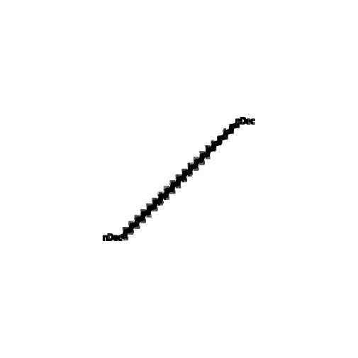 CCCCCCCCCCCCCCCCCCCCCCCCCCCCCCCCCCCCCCCCCCCCCCCCCCCCCCCCCCC